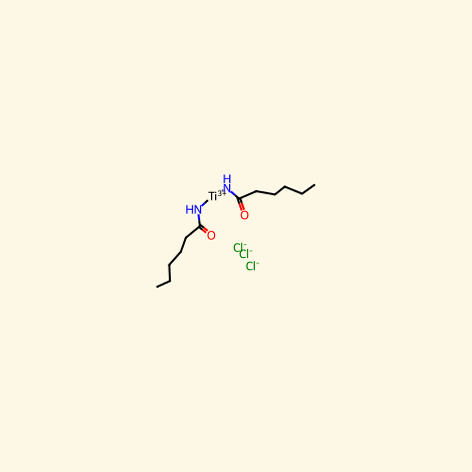 CCCCCC(=O)[NH][Ti+3][NH]C(=O)CCCCC.[Cl-].[Cl-].[Cl-]